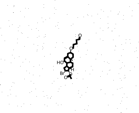 CC(=O)O[C@H]1[C@H](Br)CC2C3C(CC[C@@H]21)[C@@]1(C)CC[C@H](OCCCCC=O)CC1=C[C@@H]3O